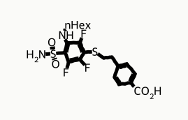 CCCCCCNc1c(F)c(SCCc2ccc(C(=O)O)cc2)c(F)c(F)c1S(N)(=O)=O